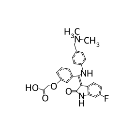 CN(C)Cc1ccc(NC(=C2C(=O)Nc3cc(F)ccc32)c2cccc(OCC(=O)O)c2)cc1